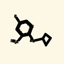 O=C(O)c1cc(F)cnc1NC1CCC1